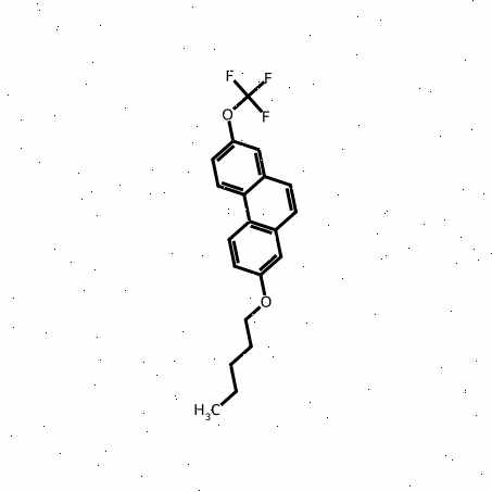 CCCCCOc1ccc2c(ccc3cc(OC(F)(F)F)ccc32)c1